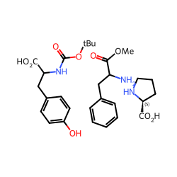 CC(C)(C)OC(=O)NC(Cc1ccc(O)cc1)C(=O)O.COC(=O)C(N)Cc1ccccc1.O=C(O)[C@@H]1CCCN1